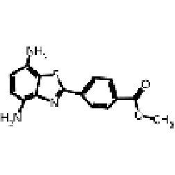 COC(=O)c1ccc(-c2nc3c(N)ccc(N)c3s2)cc1